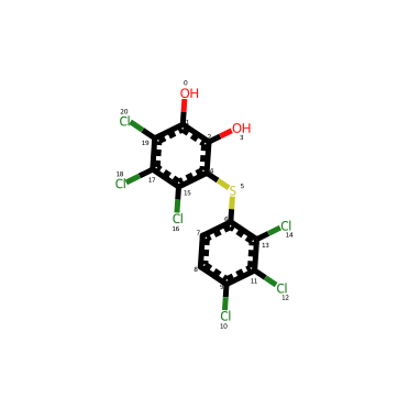 Oc1c(O)c(Sc2ccc(Cl)c(Cl)c2Cl)c(Cl)c(Cl)c1Cl